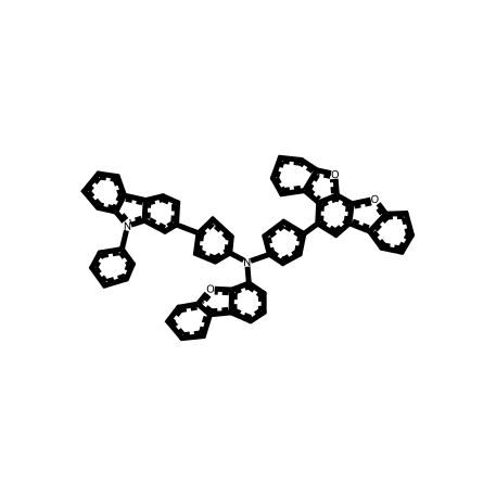 c1ccc(-n2c3ccccc3c3ccc(-c4ccc(N(c5ccc(-c6cc7c8ccccc8oc7c7oc8ccccc8c67)cc5)c5cccc6c5oc5ccccc56)cc4)cc32)cc1